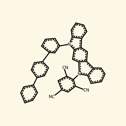 N#Cc1cc(C#N)c(-n2c3ccccc3c3cc4c5ccccc5n(-c5cccc(-c6ccc(-c7ccccc7)cc6)c5)c4cc32)c(C#N)c1